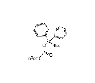 CCCCCC(=O)O[Si](c1ccccc1)(c1ccccc1)C(C)(C)C